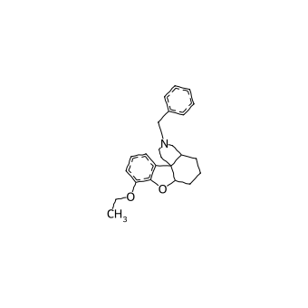 CCOc1cccc2c1OC1CCCC3CN(Cc4ccccc4)CCC231